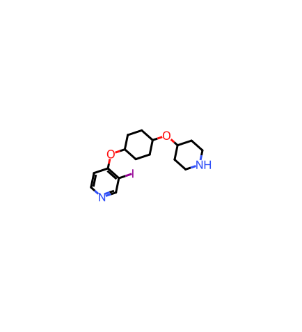 Ic1cnccc1OC1CCC(OC2CCNCC2)CC1